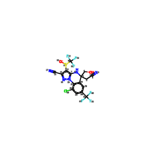 N#CCC1(CO)Nc2c([S+]([O-])C(F)(F)F)c(C#N)nn2-c2c(Cl)cc(C(F)(F)F)cc21